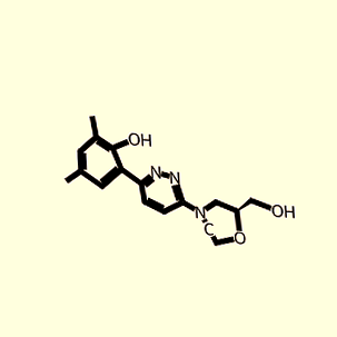 Cc1cc(C)c(O)c(-c2ccc(N3CCO[C@H](CO)C3)nn2)c1